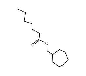 CCCCC[CH]C(=O)OCC1CCCCCC1